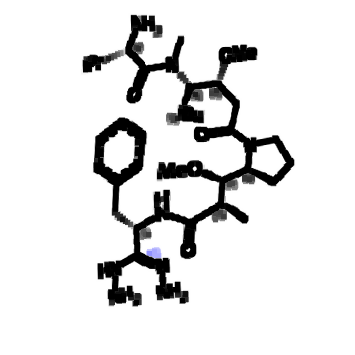 CC[C@H](C)[C@@H]([C@@H](CC(=O)N1CCC[C@H]1[C@H](OC)[C@@H](C)C(=O)N[C@@H](Cc1ccccc1)/C(=N/N)NN)OC)N(C)C(=O)[C@@H](N)C(C)C